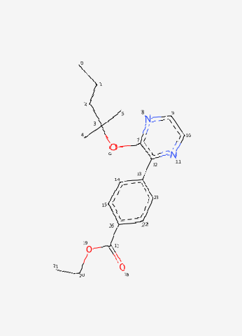 CCCC(C)(C)Oc1nccnc1-c1ccc(C(=O)OCC)cc1